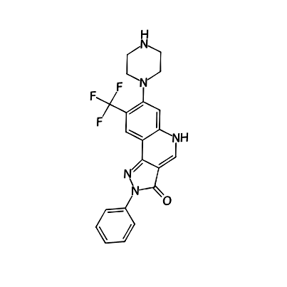 O=c1c2c[nH]c3cc(N4CCNCC4)c(C(F)(F)F)cc3c-2nn1-c1ccccc1